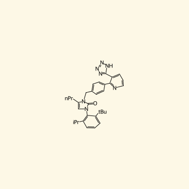 CCCc1cn(-c2c(C(C)C)cccc2C(C)(C)C)c(=O)n1Cc1ccc(-c2ncccc2-c2nnn[nH]2)cc1